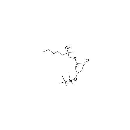 CCCCCC(C)(O)CSC1=CC(O[Si](C)(C)C(C)(C)C)CC1=O